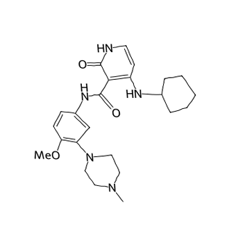 COc1ccc(NC(=O)c2c(NC3CCCCC3)cc[nH]c2=O)cc1N1CCN(C)CC1